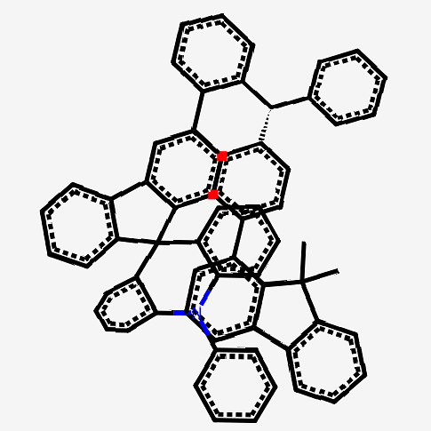 CC1(C)c2ccccc2-c2cccc(-c3ccc([C@@H](c4ccccc4)c4ccccc4-c4ccc5c(c4)-c4ccccc4C54c5ccccc5N(c5ccccc5)c5ccccc54)cc3)c21